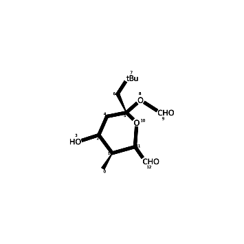 C[C@H]1C(O)C[C@](CC(C)(C)C)(OC=O)OC1C=O